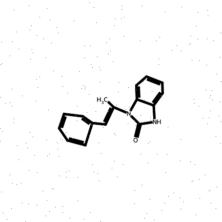 C/C(=C\c1ccccc1)n1c(=O)[nH]c2ccccc21